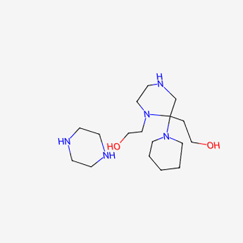 C1CNCCN1.OCCN1CCNCC1(CCO)N1CCCCC1